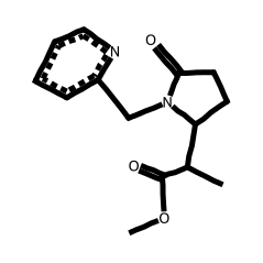 COC(=O)C(C)C1CCC(=O)N1Cc1ccccn1